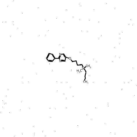 CCCC[Si](C)(C)CCCCOc1cnc(-c2cc[c]cc2)nc1